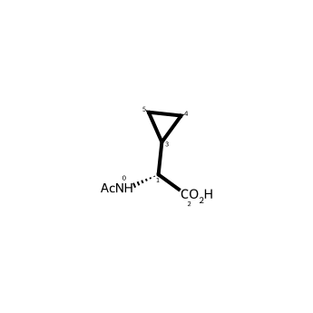 CC(=O)N[C@@H](C(=O)O)C1CC1